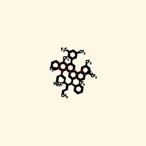 C=C/C=C(\C(C)/C=C(\C=C/C)N(c1ccccc1)c1cc(-c2cc(C(F)(F)F)cc(C(F)(F)F)c2)cc(-c2cc(C(F)(F)F)cc(C(F)(F)F)c2)c1)N(c1ccccc1)c1cc(-c2cc(C(F)(F)F)cc(C(F)(F)F)c2)cc(-c2cc(C(F)(F)F)cc(C(F)(F)F)c2)c1